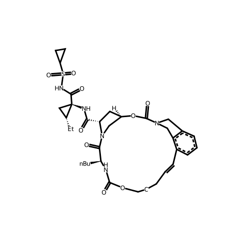 CCCC[C@@H]1NC(=O)OCCC/C=C/c2cccc3c2CN(C3)C(=O)O[C@@H]2C[C@@H](C(=O)N[C@]3(C(=O)NS(=O)(=O)C4CC4)C[C@H]3CC)N(C2)C1=O